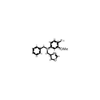 COc1cc(N(Cc2ccccc2)CC2CO[C]=N2)ccc1F